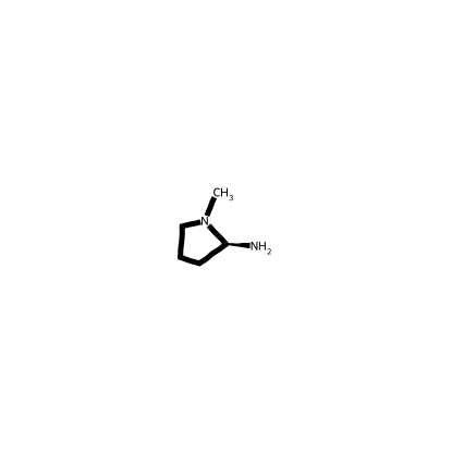 CN1CCC[C@@H]1N